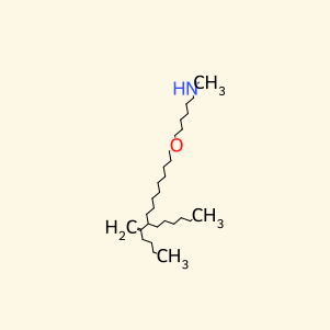 C=C(CCCC)C(CCCCCC)CCCCCCCCCOCCCCCCNC